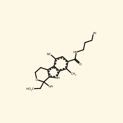 CCCC1(CC(=O)O)OCCc2c1[nH]c1c(C)c(C(=O)NCCCC(C)C)cc(C#N)c21